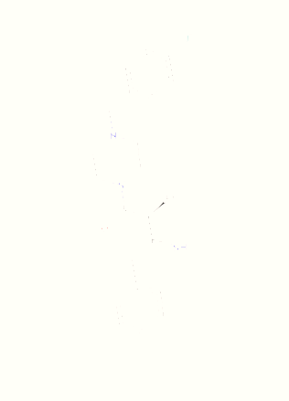 CC[C@@H](C(=N)Cc1ccccc1)C(=O)N1CCN(Cc2ccc(F)cc2)CC1